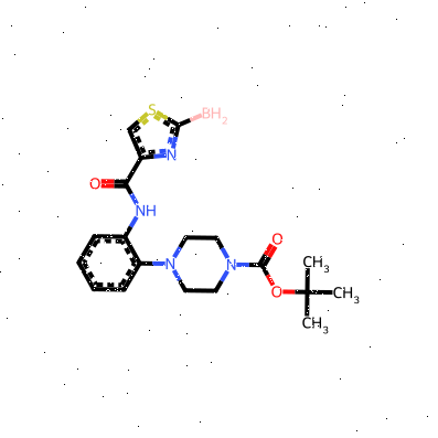 Bc1nc(C(=O)Nc2ccccc2N2CCN(C(=O)OC(C)(C)C)CC2)cs1